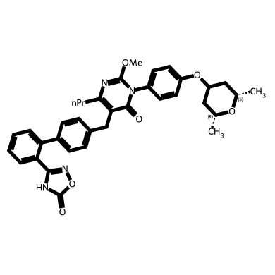 CCCc1nc(OC)n(-c2ccc(OC3C[C@@H](C)O[C@@H](C)C3)cc2)c(=O)c1Cc1ccc(-c2ccccc2-c2noc(=O)[nH]2)cc1